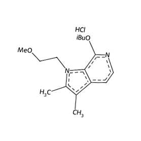 COCCn1c(C)c(C)c2ccnc(OCC(C)C)c21.Cl